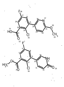 COC(=O)c1cc(F)cc(-c2ccc(=O)[nH]c2)c1Cl.COc1ccc(-c2cc(F)cc(C(=O)O)c2Cl)cn1